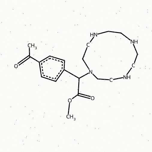 COC(=O)C(c1ccc(C(C)=O)cc1)N1CCNCCNCCNCC1